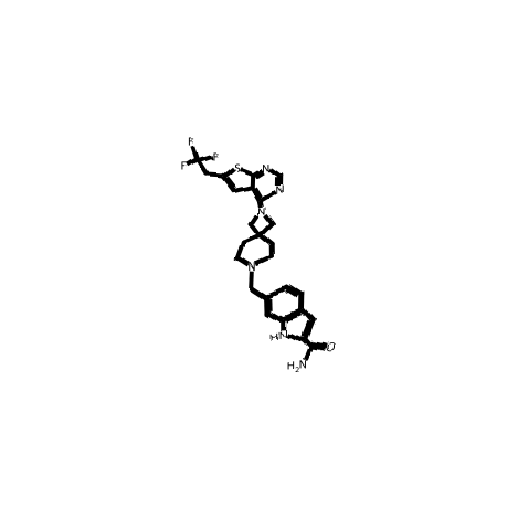 NC(=O)c1cc2ccc(CN3CCC4(CC3)CN(c3ncnc5sc(CC(F)(F)F)cc35)C4)cc2[nH]1